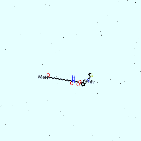 CCCN(CCc1cccs1)[C@@H]1CCc2c(cccc2OC(=O)CCNC(=O)CCCCCCCCCCCCCCC(=O)NC)C1